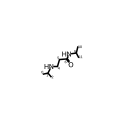 CC(C)NCCC(=O)NC(C)C